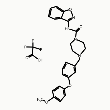 O=C(Nc1noc2ccccc12)N1CCN(Cc2cccc(Oc3ccc(OC(F)(F)F)cc3)c2)CC1.O=C(O)C(F)(F)F